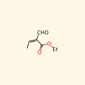 CC=C(C=O)C(=O)OCC